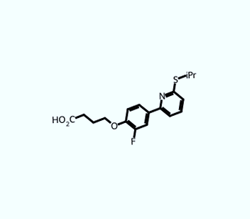 CC(C)Sc1cccc(-c2ccc(OCCCC(=O)O)c(F)c2)n1